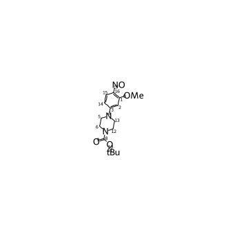 COc1cc(N2CCN(C(=O)OC(C)(C)C)CC2)ccc1N=O